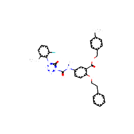 COc1ccc(COC(=O)c2cc(N(C(=O)n3nnn(-c4c(F)cccc4OC)c3=O)C(C)C)ccc2OCCc2ccccc2)cc1